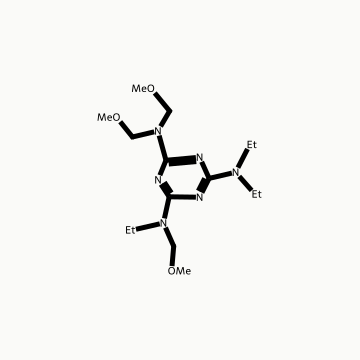 CCN(CC)c1nc(N(CC)COC)nc(N(COC)COC)n1